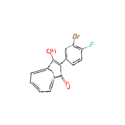 O=C1C(c2ccc(F)c(Br)c2)=C(O)c2ccccc21